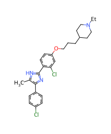 CCN1CCC(CCCOc2ccc(-c3nc(-c4ccc(Cl)cc4)c(C)[nH]3)c(Cl)c2)CC1